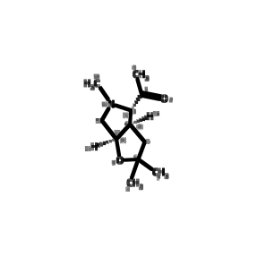 CC(=O)[C@@H]1[C@H]2CC(C)(C)O[C@H]2CN1C